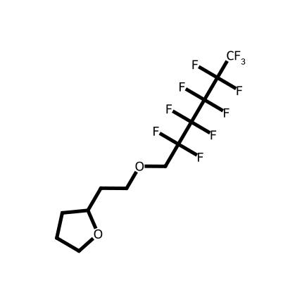 FC(F)(F)C(F)(F)C(F)(F)C(F)(F)C(F)(F)COCCC1CCCO1